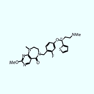 CNCC[C@H](Oc1ccc(CN2CCN(C)c3nc(OC)ncc3C2=O)c(F)c1)c1cccs1